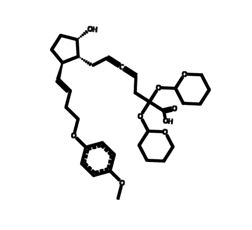 COc1ccc(OCC/C=C/[C@H]2CC[C@H](O)[C@@H]2CC=C=CCC(OC2CCCCO2)(OC2CCCCO2)C(=O)O)cc1